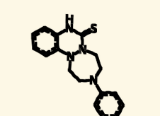 S=C1Nc2ccccc2N2CCN(c3ccccc3)CCN12